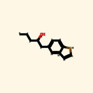 CCCC(O)Cc1ccc2sccc2c1